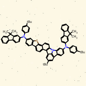 CC(C)(C)c1ccc(N(c2ccc3c(c2)C(C)(C)c2ccccc2-3)c2ccc3c(c2)sc2c3ccc3c2ccc2c3c3cc(C(C)(C)C)cc4c5ccc(N(c6ccc(C(C)(C)C)cc6)c6ccc7c(c6)C(C)(C)c6ccccc6-7)cc5n2c43)cc1